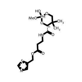 CO[PH]1(O)OCC(C)(C)[C@H](C(=O)NCCC(=O)OCc2cncs2)O1